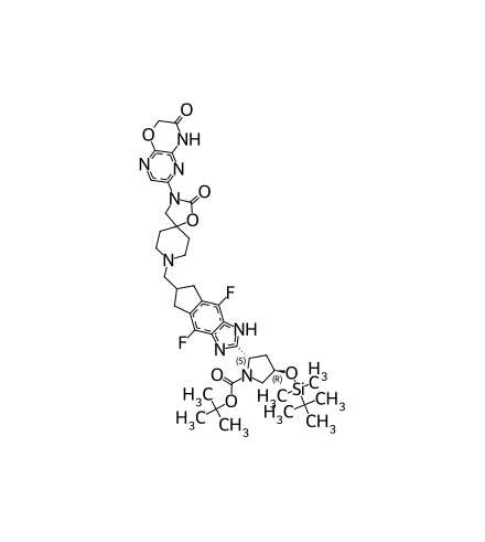 CC(C)(C)OC(=O)N1C[C@H](O[Si](C)(C)C(C)(C)C)C[C@H]1c1nc2c(F)c3c(c(F)c2[nH]1)CC(CN1CCC2(CC1)CN(c1cnc4c(n1)NC(=O)CO4)C(=O)O2)C3